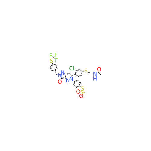 CC(=O)NCCSc1ccc(-c2cc3nn(Cc4ccc(SC(F)(F)F)cc4)c(=O)c-3nn2-c2ccc(SS(C)(=O)=O)cc2)c(Cl)c1